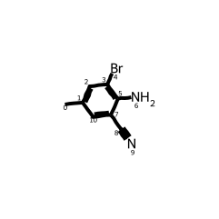 Cc1cc(Br)c(N)c(C#N)c1